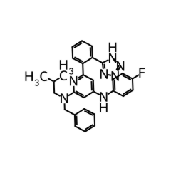 CC(C)CN(Cc1ccccc1)c1cc(Nc2ccc(F)cc2)cc(-c2ccccc2-c2nnn[nH]2)n1